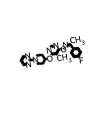 CC(=NOc1ncnc(OC2CCN(c3ncccn3)CC2)c1C)c1ccc(F)cc1